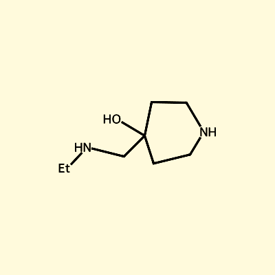 CCNCC1(O)CCNCC1